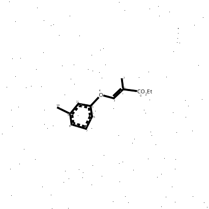 CCOC(=O)/C(C)=C/Oc1cccc(C)c1